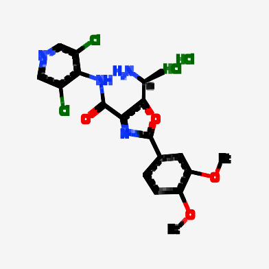 CCOc1ccc(-c2nc(C(=O)Nc3c(Cl)cncc3Cl)c([C@H](C)N)o2)cc1OCC.Cl.Cl